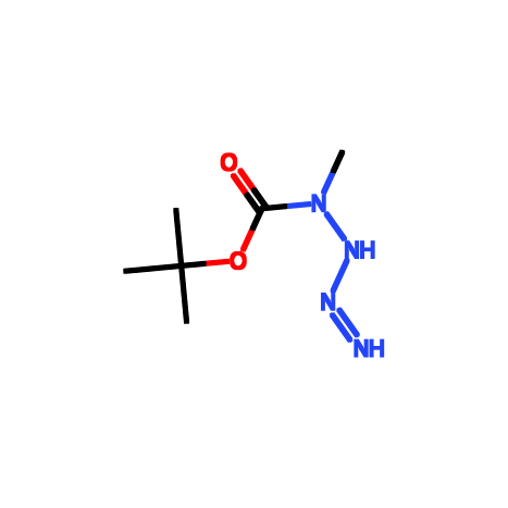 CN(NN=N)C(=O)OC(C)(C)C